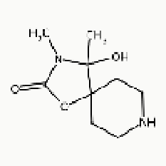 CN1C(=O)OC2(CCNCC2)C1(C)O